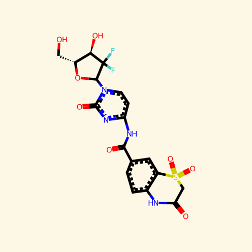 O=C1CS(=O)(=O)c2cc(C(=O)Nc3ccn(C4O[C@H](CO)[C@@H](O)C4(F)F)c(=O)n3)ccc2N1